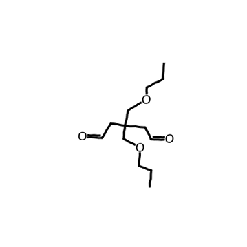 CCCOCC(CC=O)(CC=O)COCCC